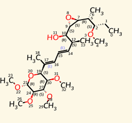 CC[C@H](OC)[C@@H](C)[C@@H]1O[C@H]1[C@H](O)[C@@H](C)/C=C/C=C(\C)[C@@H]1O[C@@H](OC)[C@H](OC)[C@@H](OC)[C@@H]1OC